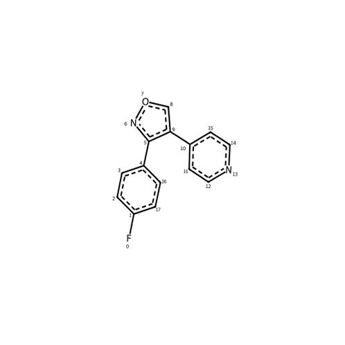 Fc1ccc(-c2nocc2-c2ccncc2)cc1